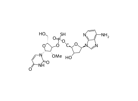 CO[C@H]1C(OP(=O)(S)OC[C@H]2O[C@@H](n3cnc4c(N)ccnc43)CC2O)[C@@H](CO)O[C@H]1n1ccc(=O)[nH]c1=O